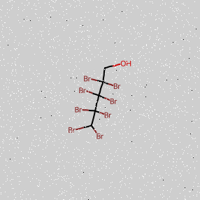 OCC(Br)(Br)C(Br)(Br)C(Br)(Br)C(Br)Br